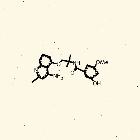 COc1cc(O)cc(C(=O)NC(C)(C)COc2cccc3nc(C)cc(N)c23)c1